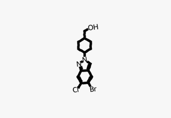 OCC1CCC(n2cc3cc(Br)c(Cl)cc3n2)CC1